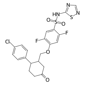 O=C1CCC(c2ccc(Cl)cc2)C(COc2cc(F)c(S(=O)(=O)Nc3ncns3)cc2F)C1